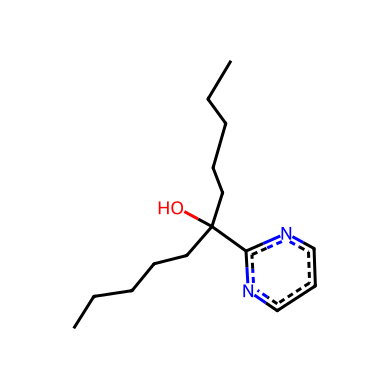 CCCCCC(O)(CCCCC)c1ncccn1